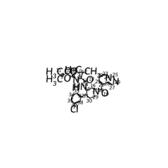 CC(C)[C@H](NC(=O)OC(C)(C)C)C(=O)N[C@@H]1CN(C(=O)c2cccn3cncc23)CC[C@H]1c1cccc(Cl)c1